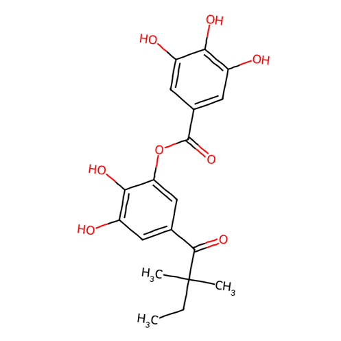 CCC(C)(C)C(=O)c1cc(O)c(O)c(OC(=O)c2cc(O)c(O)c(O)c2)c1